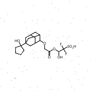 O=C(COC1C2CC3CC1CC(C1(O)CCCC1)(C3)C2)OC(O)C(F)(F)S(=O)(=O)O